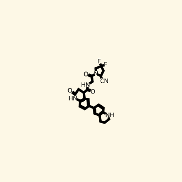 N#CC1CC(F)(F)CN1C(=O)CNC(=O)C1CC(=O)Nc2ccc(-c3ccc4c(c3)CCCN4)cc21